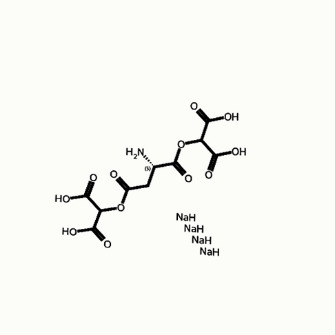 N[C@@H](CC(=O)OC(C(=O)O)C(=O)O)C(=O)OC(C(=O)O)C(=O)O.[NaH].[NaH].[NaH].[NaH]